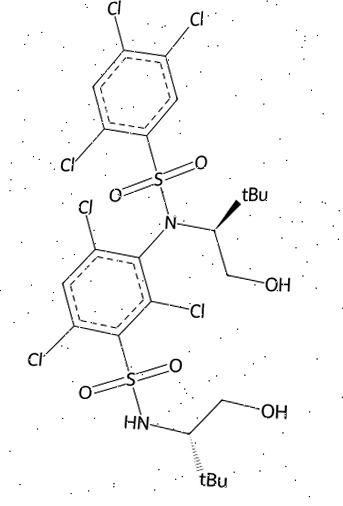 CC(C)(C)[C@@H](CO)NS(=O)(=O)c1c(Cl)cc(Cl)c(N([C@H](CO)C(C)(C)C)S(=O)(=O)c2cc(Cl)c(Cl)cc2Cl)c1Cl